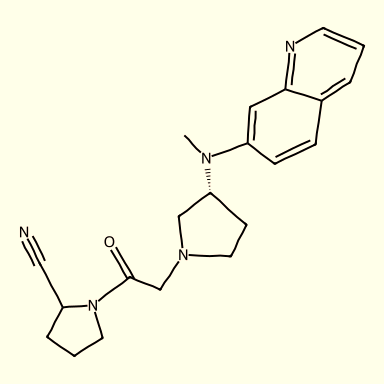 CN(c1ccc2cccnc2c1)[C@@H]1CCN(CC(=O)N2CCCC2C#N)C1